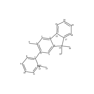 Cc1cc2c(cc1-c1cccc[n+]1C)C(C)(C)c1ccccc1-2